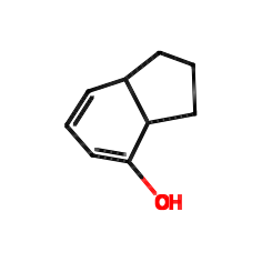 OC1=CC=CC2CCCC12